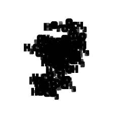 CCOCCOC(=O)C(C)(COC(=O)C(C)(CO)COC(=O)C(C)(COC(=O)C(C)(CO)CO)COC(=O)C(C)(CO)COC(=O)C(C)(COC(=O)C(C)(CO)CO)COC(=O)C(C)(CO)CO)COC(=O)C(C)(COC(=O)C(C)(CO)COC(=O)C(C)(CO)COC(=O)C(C)(CO)CO)COC(=O)C(C)(COC(=O)C(C)(CO)CO)COC(=O)C(C)(CO)CO